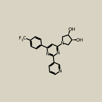 O[C@@H]1CN(c2cc(-c3ccc(C(F)(F)F)cc3)nc(-c3cccnc3)n2)C[C@@H]1O